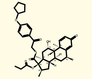 CCC(=O)O[C@]1(C(=O)SCC(=O)c2ccc(OC3CCCC3)cc2)[C@H](C)C[C@H]2[C@@H]3C[C@H](F)C4=CC(=O)C=C[C@]4(C)[C@@]3(F)[C@@H](O)C[C@@]21C